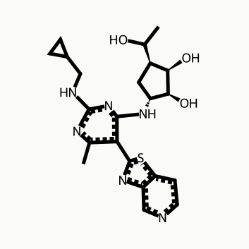 Cc1nc(NCC2CC2)nc(N[C@@H]2C[C@@H](C(C)O)[C@@H](O)[C@H]2O)c1-c1nc2cnccc2s1